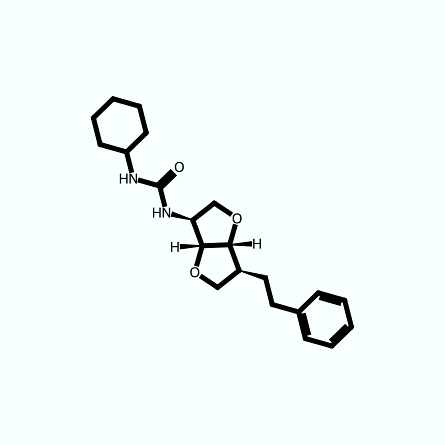 O=C(NC1CCCCC1)N[C@H]1CO[C@@H]2[C@@H](CCc3ccccc3)CO[C@@H]21